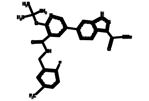 BC(B)(B)Oc1ncc(-c2ccc3c(C(=O)NC)n[nH]c3c2)cc1C(=O)NCc1cc(C(F)(F)F)ccc1F